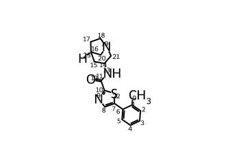 Cc1ccccc1-c1cnc(C(=O)N[C@@H]2C[C@@H]3CCN(C3)C2)s1